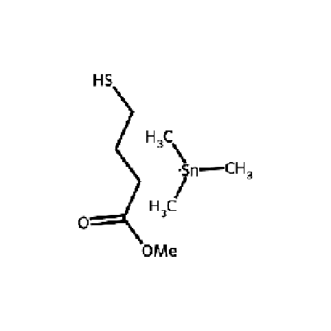 COC(=O)CCCS.[CH3][Sn]([CH3])[CH3]